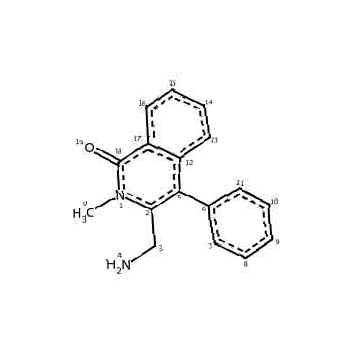 Cn1c(CN)c(-c2ccccc2)c2ccccc2c1=O